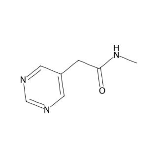 CNC(=O)Cc1cncnc1